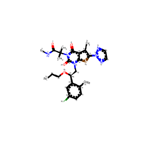 CCNC(=O)C(C)(C)n1c(=O)c2c(C)c(-n3nccn3)sc2n(C[C@H](OCCC#N)c2cc(F)ccc2OC)c1=O